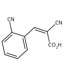 N#CC(=Cc1ccccc1C#N)C(=O)O